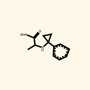 CNC(=O)C(C)NC1(c2ccccc2)CC1